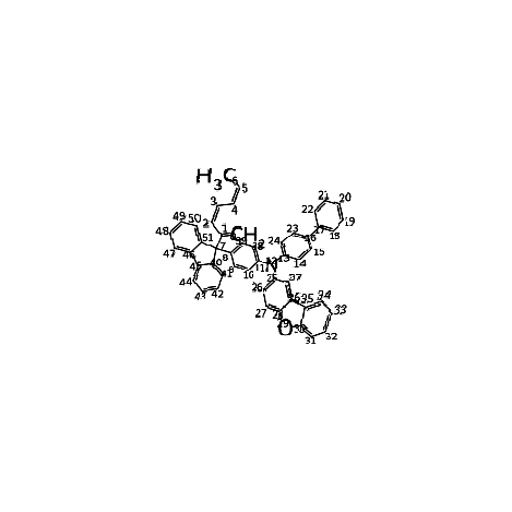 C=C(/C=C\C=C/C)C1(c2ccc(N(c3ccc(-c4ccccc4)cc3)c3ccc4oc5ccccc5c4c3)cc2)c2ccccc2-c2ccccc21